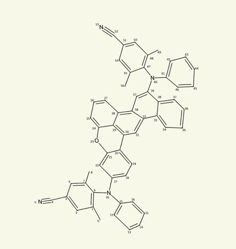 Cc1cc(C#N)cc(C)c1N(c1ccccc1)c1ccc2c(c1)Oc1cccc3c1c-2cc1c2ccccc2c(N(c2ccccc2)c2c(C)cc(C#N)cc2C)cc31